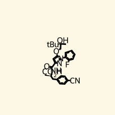 CC(C)(C)[C@](C)(O)COc1cc(C(=O)N[C@H](CC(=O)O)Cc2ccc(C#N)cc2)nn1-c1ccccc1F